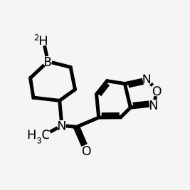 [2H]B1CCC(N(C)C(=O)c2ccc3nonc3c2)CC1